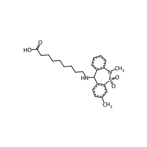 Cc1ccc2c(c1)S(=O)(=O)N(C)c1ccccc1C2NCCCCCCCCC(=O)O